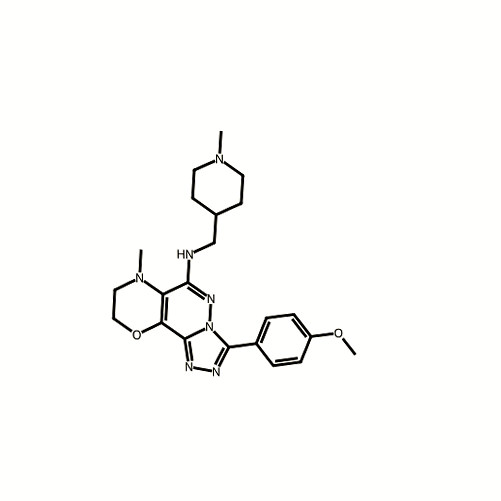 COc1ccc(-c2nnc3c4c(c(NCC5CCN(C)CC5)nn23)N(C)CCO4)cc1